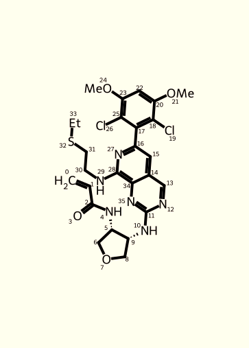 C=CC(=O)N[C@H]1COC[C@H]1Nc1ncc2cc(-c3c(Cl)c(OC)cc(OC)c3Cl)nc(NCCSCC)c2n1